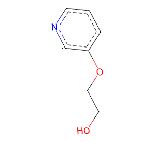 OCCOc1[c]nccc1